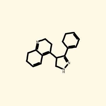 C1=CCCC(C2=NNCC2C2=C3C=CCCC3=NCC2)=C1